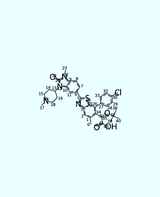 Cc1cc2nc(-c3ccc4c(c3)n(C3CCN(C)CC3)c(=O)n4C)sc2c(-c2ccc(Cl)cc2)c1[C@H](OC(C)(C)C)C(=O)O